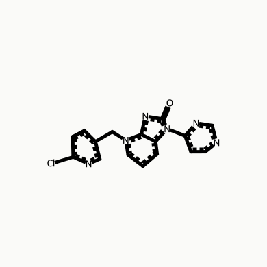 O=c1nc2n(Cc3ccc(Cl)nc3)cccc-2n1-c1ccncn1